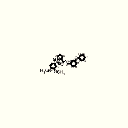 COc1ccc(S(=O)(=O)N2CCCC2C(=O)NCc2cccc(Oc3ccccc3)c2)cc1OC